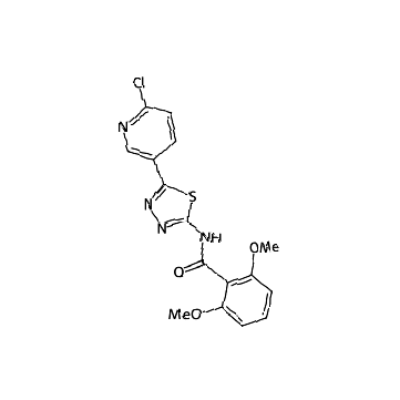 COc1cccc(OC)c1C(=O)Nc1nnc(-c2ccc(Cl)nc2)s1